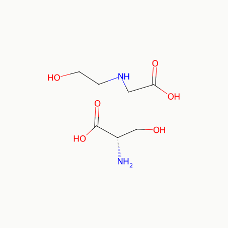 N[C@@H](CO)C(=O)O.O=C(O)CNCCO